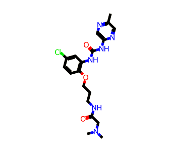 Cc1cnc(NC(=O)Nc2cc(Cl)ccc2OCCCNC(=O)CN(C)C)cn1